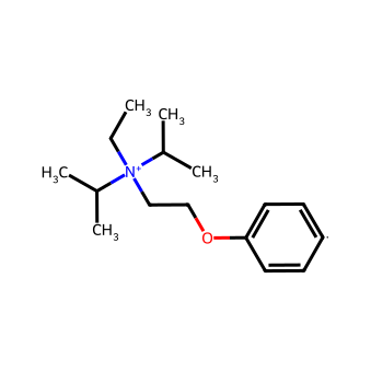 CC[N+](CCOc1cc[c]cc1)(C(C)C)C(C)C